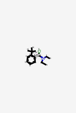 CCN(CC)[SiH](Cl)c1ccccc1C(C)(C)C